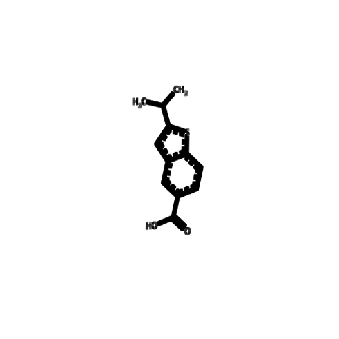 CC(C)c1cc2cc(C(=O)O)ccc2s1